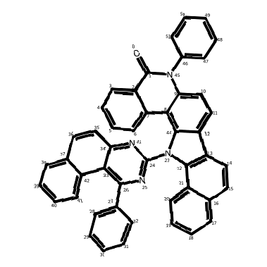 O=c1c2ccccc2c2c(ccc3c4ccc5ccccc5c4n(-c4nc(-c5ccccc5)c5c(ccc6ccccc65)n4)c32)n1-c1ccccc1